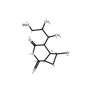 CSCC(C)C(C)C1C(=O)OC(=O)C2CC(C(C)C)C21